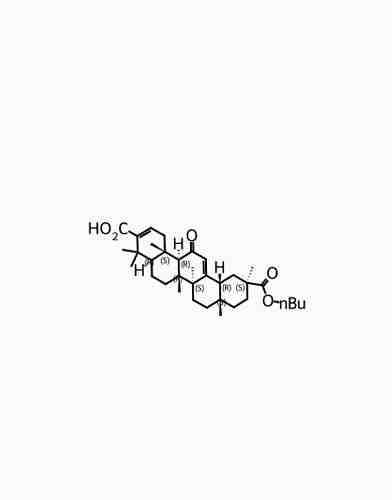 CCCCOC(=O)[C@@]1(C)CC[C@]2(C)CC[C@]3(C)C(=CC(=O)[C@@H]4[C@@]5(C)CC=C(C(=O)O)C(C)(C)[C@@H]5CC[C@]43C)[C@@H]2C1